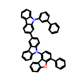 c1ccc(-c2cccc(-n3c4ccccc4c4ccc(-c5ccc6c(c5)c5ccccc5n6-c5ccc(-c6ccccc6)c6oc7ccccc7c56)cc43)c2)cc1